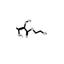 C/C(N)=C(\SC#N)C(=O)OCCC#N